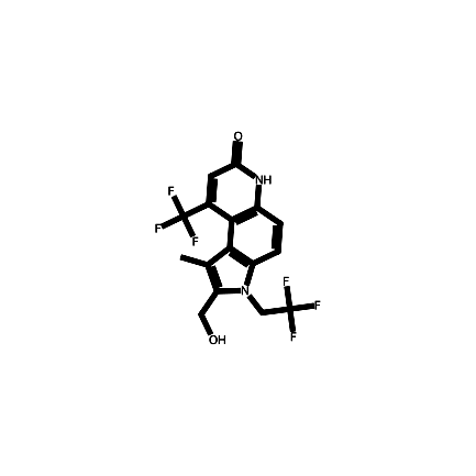 Cc1c(CO)n(CC(F)(F)F)c2ccc3[nH]c(=O)cc(C(F)(F)F)c3c12